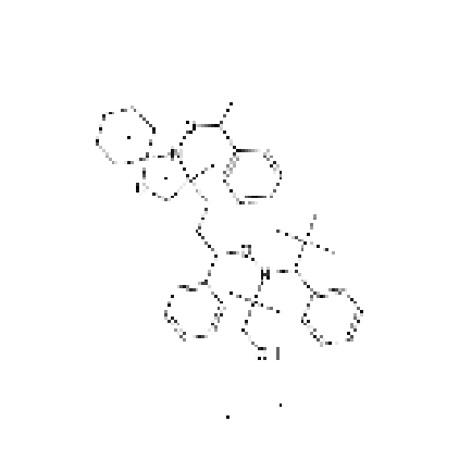 CC(ON1C(C)(CCC(ON(C(c2ccccc2)C(C)(C)C)C(C)(C)CO)c2ccccc2)COC12CCCCC2)c1ccccc1